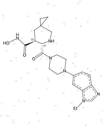 CCn1cnc2ccc(N3CCN(C(=O)[C@H]4NCC5(CC5)C[C@@H]4C(=O)NO)CC3)cc21